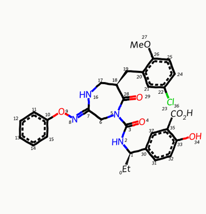 CC[C@@H](NC(=O)N1C/C(=N/Oc2ccccc2)NC[C@@H](Cc2cc(Cl)ccc2OC)C1=O)c1ccc(O)c(C(=O)O)c1